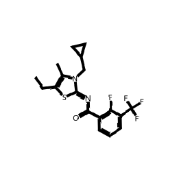 CCc1s/c(=N\C(=O)c2cccc(C(F)(F)F)c2F)n(CC2CC2)c1C